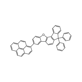 c1ccc(C2(c3ccccc3)c3ccccc3-c3c2ccc2c3oc3ccc(-c4ccc5ccc6cccc7ccc4c5c67)cc32)cc1